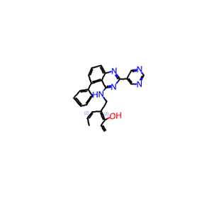 C=C/C(O)=C(\C=C/C)CNc1nc(-c2cncnc2)nc2cccc(-c3ccccc3)c12